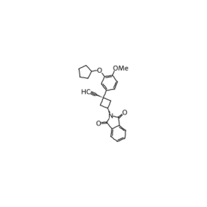 C#C[C@]1(c2ccc(OC)c(OC3CCCC3)c2)C[C@H](N2C(=O)c3ccccc3C2=O)C1